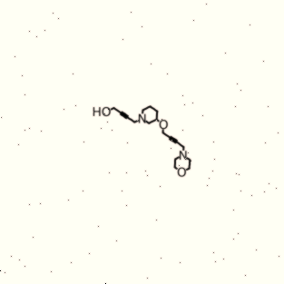 OCC#CCN1CCCC(OCC#CCN2CCOCC2)C1